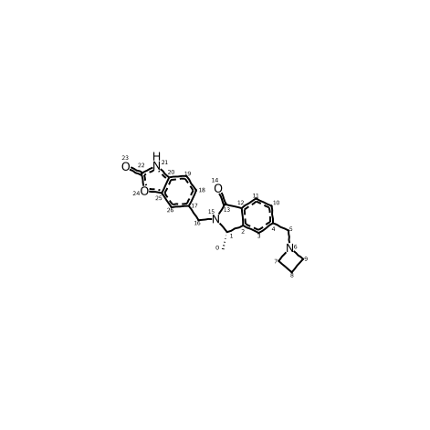 C[C@H]1c2cc(CN3CCC3)ccc2C(=O)N1Cc1ccc2[nH]c(=O)oc2c1